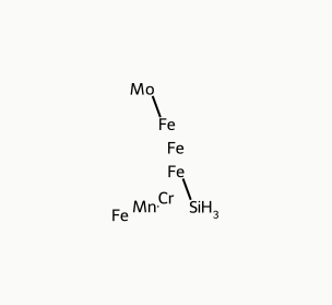 [Cr].[Fe].[Fe].[Fe][Mo].[Mn].[SiH3][Fe]